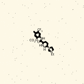 CCN1CCN(C2CCC(C(=O)Nc3cc(C(F)(F)F)c(C)cc3C(=O)O)NN2)C1